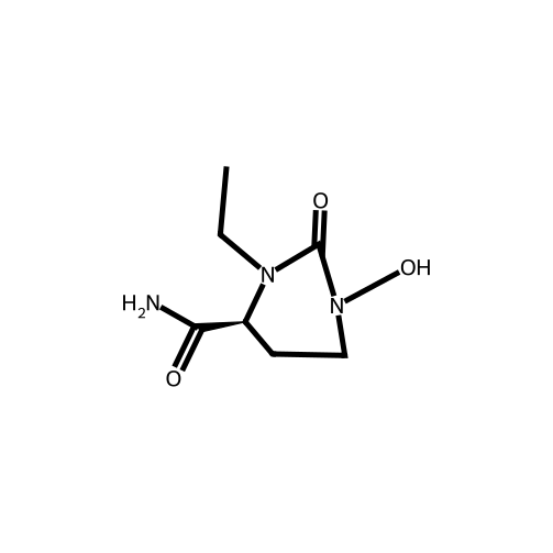 CCN1C(=O)N(O)CC[C@H]1C(N)=O